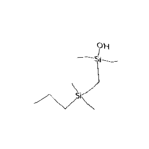 CCC[Si](C)(C)C[Si](C)(C)O